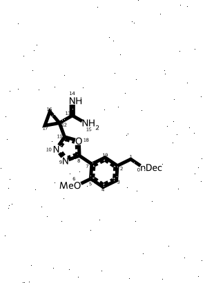 CCCCCCCCCCCc1ccc(OC)c(-c2nnc(C3(C(=N)N)CC3)o2)c1